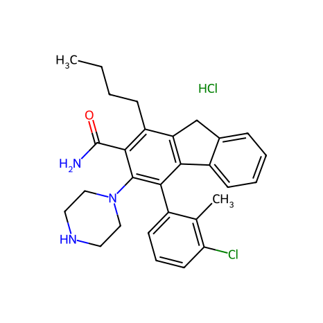 CCCCc1c2c(c(-c3cccc(Cl)c3C)c(N3CCNCC3)c1C(N)=O)-c1ccccc1C2.Cl